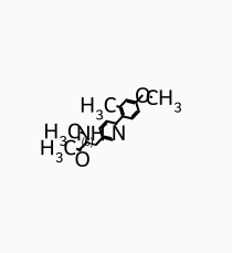 CN[C@@H](Cc1ccc(-c2ccc(OC)cc2C)nc1)C(C)=O